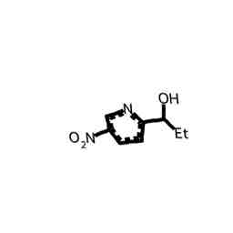 CCC(O)c1ccc([N+](=O)[O-])cn1